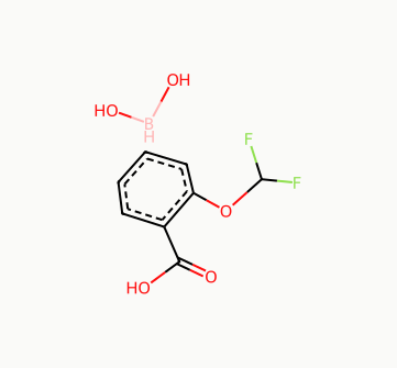 O=C(O)c1ccccc1OC(F)F.OBO